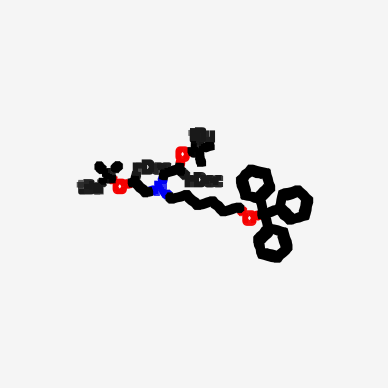 CCCCCCCCCCC(CN(CCCCCCOC(c1ccccc1)(c1ccccc1)c1ccccc1)CC(CCCCCCCCCC)O[Si](C)(C)C(C)(C)C)O[Si](C)(C)C(C)(C)C